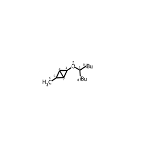 CCC(C)C(OC1C2C(C)C12)C(C)CC